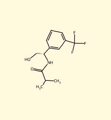 CC(C)C(=O)N[C@H](CO)c1cccc(C(F)(F)F)c1